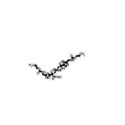 C=CCOC(=O)NCc1noc([C@](CSSC[C@@](NC=O)(OC(C)(C)C)c2nc(CNC(=O)OCC=C)no2)(NC=O)OC(C)(C)C)n1